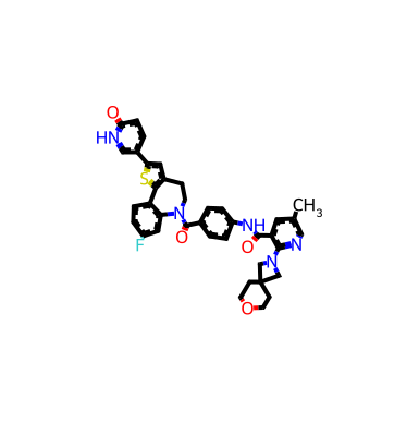 Cc1cnc(N2CC3(CCOCC3)C2)c(C(=O)Nc2ccc(C(=O)N3CCc4cc(-c5ccc(=O)[nH]c5)sc4-c4ccc(F)cc43)cc2)c1